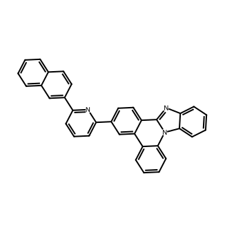 c1cc(-c2ccc3ccccc3c2)nc(-c2ccc3c(c2)c2ccccc2n2c4ccccc4nc32)c1